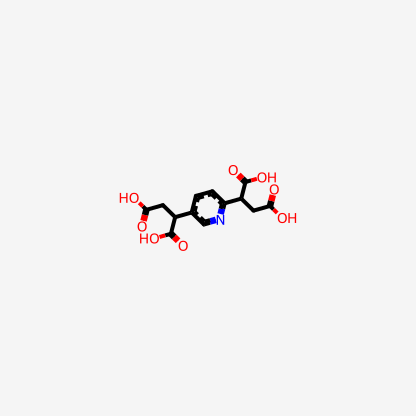 O=C(O)CC(C(=O)O)c1ccc(C(CC(=O)O)C(=O)O)nc1